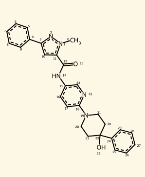 Cn1nc(-c2ccccc2)cc1C(=O)Nc1ccc(N2CCC(O)(c3ccccc3)CC2)nc1